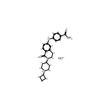 Cl.NC(=O)c1ccc(Oc2ccc3c(c2)CCN(C2CCN(C4CCC4)CC2)C3=O)cc1